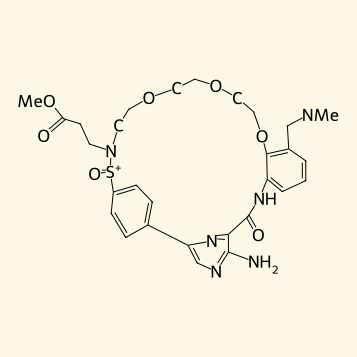 CNCc1cccc2c1OCCOCCOCCN(CCC(=O)OC)[S+]([O-])c1ccc(cc1)-c1cnc(N)c(n1)C(=O)N2